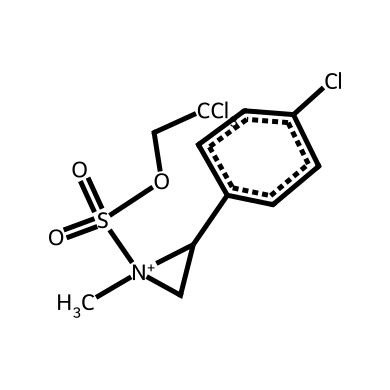 C[N+]1(S(=O)(=O)OCC(Cl)(Cl)Cl)CC1c1ccc(Cl)cc1